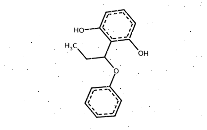 CCC(Oc1ccccc1)c1c(O)cccc1O